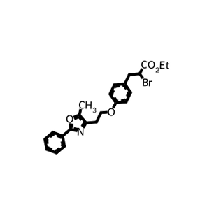 CCOC(=O)C(Br)Cc1ccc(OCCc2nc(-c3ccccc3)oc2C)cc1